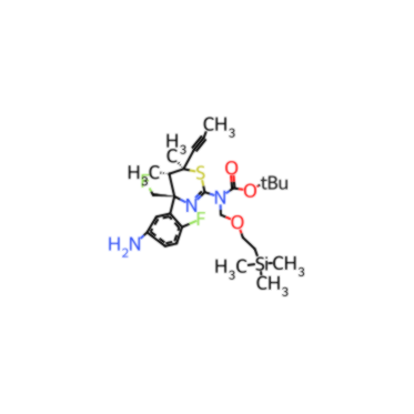 CC#C[C@@]1(C)SC(N(COCC[Si](C)(C)C)C(=O)OC(C)(C)C)=N[C@](CF)(c2cc(N)ccc2F)[C@@H]1C